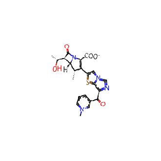 C[C@@H](O)[C@H]1C(=O)N2C(C(=O)[O-])=C(c3cn4cnc(C(=O)c5ccc[n+](C)c5)c4s3)[C@H](C)[C@H]12